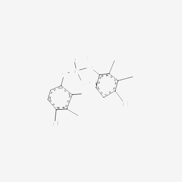 CCCCCCC[CH2][Sn]([CH2]CCCCCCC)([O]c1ccc(CCC)c(C)c1C)[O]c1ccc(CCC)c(C)c1C